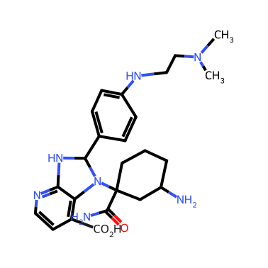 CN(C)CCNc1ccc(C2Nc3nccc(C(=O)O)c3N2C2(C(N)=O)CCCC(N)C2)cc1